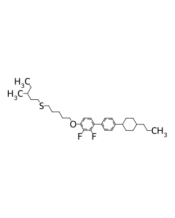 CCCC1CCC(c2ccc(-c3ccc(OCCCCCSCCC(C)CC)c(F)c3F)cc2)CC1